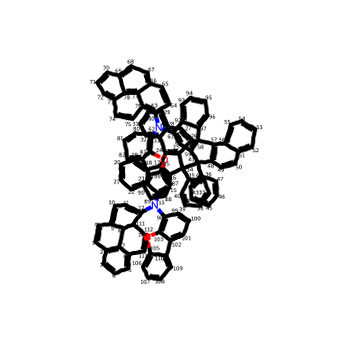 C1=Cc2cccc3c2C2C1=CC=C(N(c1cc4c(c5ccccc15)-c1c(ccc5ccccc15)C4(c1ccccc1)C1(c4ccccc4)c4ccc5ccccc5c4-c4c1cc(N(c1ccc5ccc6cccc7ccc1c5c67)c1cccc5c1oc1ccccc15)c1ccccc41)c1cccc4c1oc1ccccc14)C2C=C3